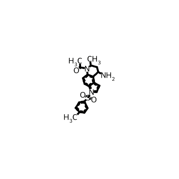 CC(=O)N1c2ccc3c(ccn3S(=O)(=O)c3ccc(C)cc3)c2C(N)CC1C